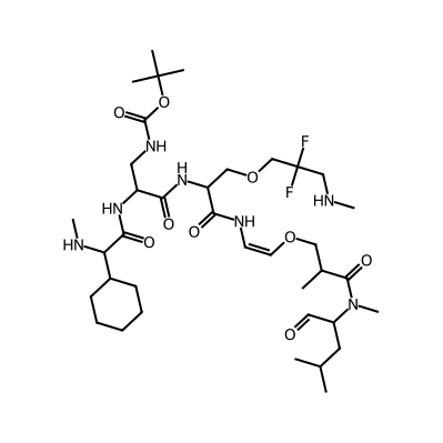 CNCC(F)(F)COCC(NC(=O)C(CNC(=O)OC(C)(C)C)NC(=O)C(NC)C1CCCCC1)C(=O)N/C=C\OCC(C)C(=O)N(C)C(C=O)CC(C)C